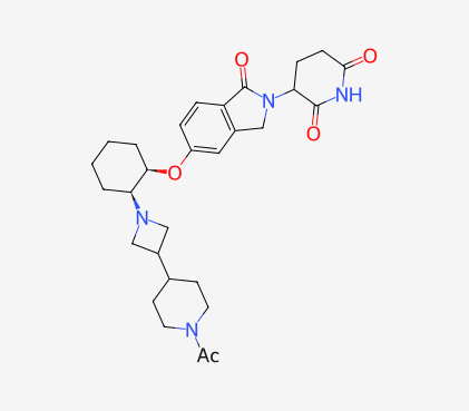 CC(=O)N1CCC(C2CN([C@H]3CCCC[C@H]3Oc3ccc4c(c3)CN(C3CCC(=O)NC3=O)C4=O)C2)CC1